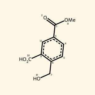 COC(=O)c1ccc(CO)c(C(=O)O)c1